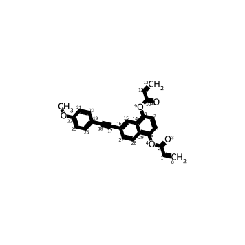 C=CC(=O)Oc1ccc(OC(=O)C=C)c2cc(C#Cc3ccc(OC)cc3)ccc12